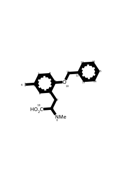 CNC(Cc1cc(I)ccc1OCc1ccccc1)C(=O)O